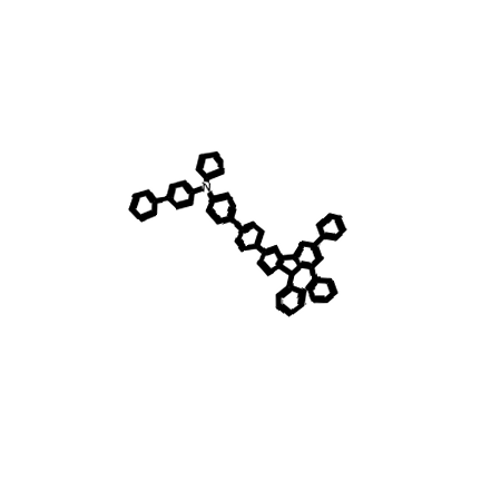 c1ccc(-c2ccc(N(c3ccccc3)c3ccc(-c4ccc(-c5ccc6c(c5)-c5cc(-c7ccccc7)cc(-c7ccccc7)c5C6c5ccccc5)cc4)cc3)cc2)cc1